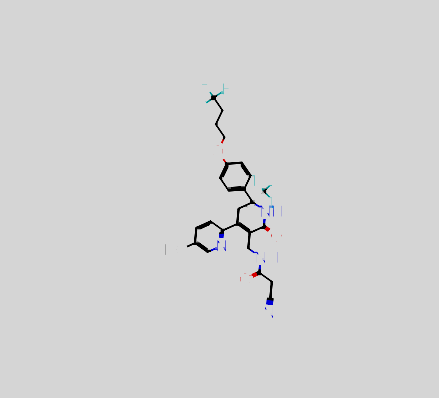 Cc1ccc(C2=C(CNC(=O)CC#N)C(=O)N[C@@](c3ccc(OCCCC(F)(F)F)cc3)(C(F)(F)F)C2)nc1